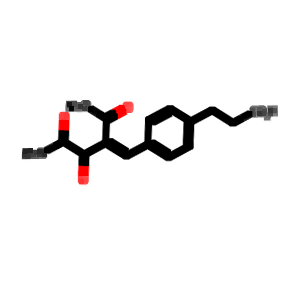 COC(=O)C(=O)C(=Cc1ccc(CCC(=O)O)cc1)C(=O)OC